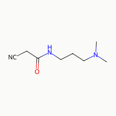 CN(C)CCCNC(=O)CC#N